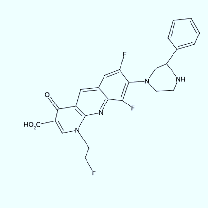 O=C(O)c1cn(CCF)c2nc3c(F)c(N4CCNC(c5ccccc5)C4)c(F)cc3cc2c1=O